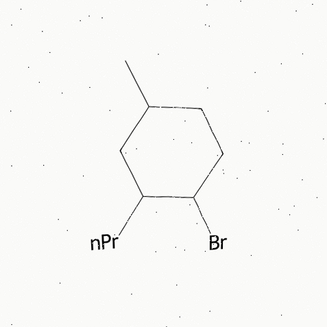 CCCC1CC(C)CCC1Br